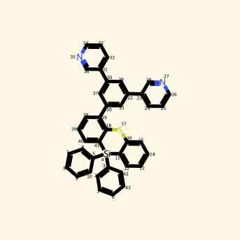 c1ccc([Si]2(c3ccccc3)c3ccccc3Sc3c(-c4cc(-c5cccnc5)cc(-c5cccnc5)c4)cccc32)cc1